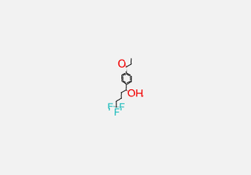 CCC(=O)c1ccc(C(O)CCCC(F)(F)F)cc1